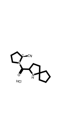 Cl.N#C[C@@H]1CCCN1C(=O)C1CCC2(CCCC2)N1